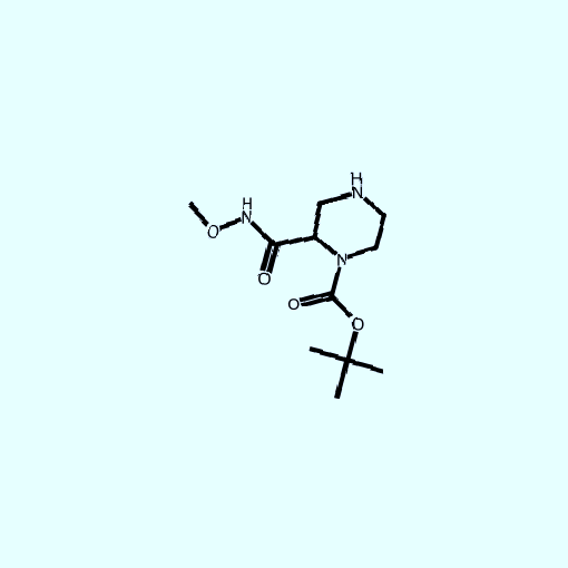 CONC(=O)C1CNCCN1C(=O)OC(C)(C)C